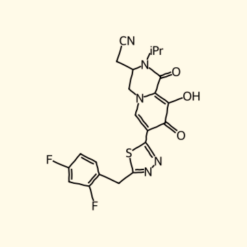 CC(C)N1C(=O)c2c(O)c(=O)c(-c3nnc(Cc4ccc(F)cc4F)s3)cn2CC1CC#N